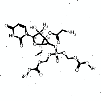 CC(C)OC(=O)OCOP(=O)(OCOC(=O)OC(C)C)OC1[C@]2(OC(=O)CN)[C@@](C)(O)[C@H](n3ccc(=O)[nH]c3=O)O[C@]12CF